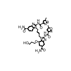 Cc1cc(C(=O)Nc2nc3cc(C(N)=O)ccc3n2CC=CCn2c(NC(=O)c3cc(C)on3)nc3cc(C(N)=O)cc(OCCCO)c32)no1